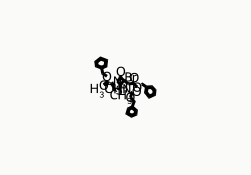 CC1(C)S[C@H]2N(C(=O)[C@@]2(Br)C(NC(=O)OCc2ccccc2)C(=O)OCc2ccccc2)[C@H]1C(=O)OCc1ccccc1